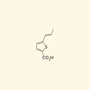 CC=Cc1ccc(C(=O)O)s1